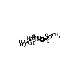 CCOC(=O)C(C)c1ccc(CNS(=O)(=O)NC(=O)OC(C)(C)C)cc1